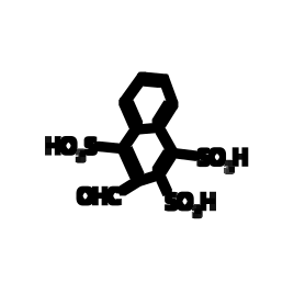 O=Cc1c(S(=O)(=O)O)c(S(=O)(=O)O)c2ccccc2c1S(=O)(=O)O